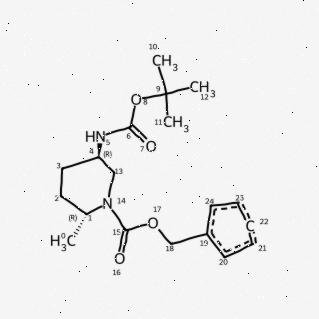 C[C@@H]1CC[C@@H](NC(=O)OC(C)(C)C)CN1C(=O)OCc1ccccc1